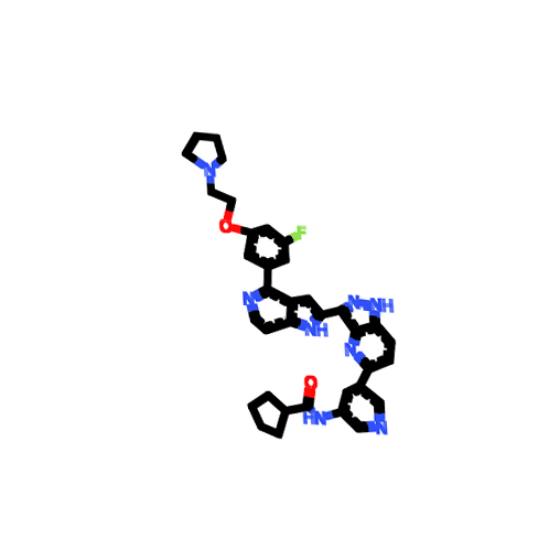 O=C(Nc1cncc(-c2ccc3[nH]nc(-c4cc5c(-c6cc(F)cc(OCCN7CCCC7)c6)nccc5[nH]4)c3n2)c1)C1CCCC1